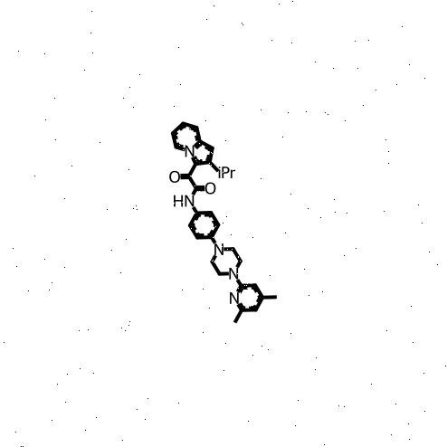 Cc1cc(C)nc(N2CCN(c3ccc(NC(=O)C(=O)c4c(C(C)C)cc5ccccn45)cc3)CC2)c1